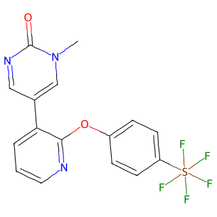 Cn1cc(-c2cccnc2Oc2ccc(S(F)(F)(F)(F)F)cc2)cnc1=O